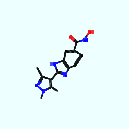 Cc1nn(C)c(C)c1-c1nc2ccc(C(=O)NO)cc2[nH]1